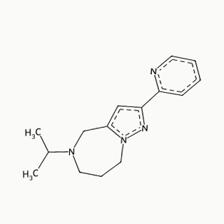 CC(C)N1CCCn2nc(-c3ccccn3)cc2C1